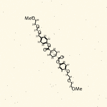 COCCOCCOc1ccc(OC(=O)[C@H]2CC[C@H](C(=O)Oc3ccc(COCOCCOC)cc3)CC2)cc1